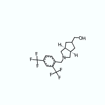 OCC1C[C@@H]2CN(Cc3ccc(C(F)(F)F)cc3C(F)(F)F)C[C@@H]2C1